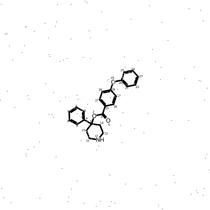 O=C(OC1(c2ccccc2)CCNCC1)c1ccc(Oc2ccccc2)cc1